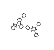 c1ccc(-c2ccc3c(c2)c2cc(-c4ccc(-c5nc(-c6ccccc6)nc(-c6ccccc6)n5)cc4)ccc2c2c3nc3ccccn32)cc1